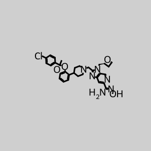 CC1(c2ccc(Cl)cc2)Oc2cccc(C3CCN(Cc4nc5cc(/C(N)=N/O)ncc5n4C[C@@H]4CCO4)CC3)c2O1